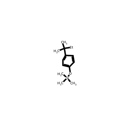 CCC(C)(C)c1ccc(O[Si](C)(C)C)cc1